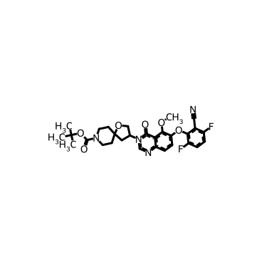 COc1c(Oc2c(F)ccc(F)c2C#N)ccc2ncn(C3COC4(CCN(C(=O)OC(C)(C)C)CC4)C3)c(=O)c12